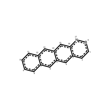 b1ccc2cc3cc4ccccc4cc3cc2n1